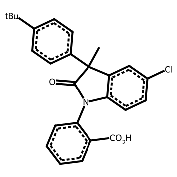 CC(C)(C)c1ccc(C2(C)C(=O)N(c3ccccc3C(=O)O)c3ccc(Cl)cc32)cc1